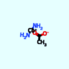 CC(=O)[O-].[NH2][Co+][NH2]